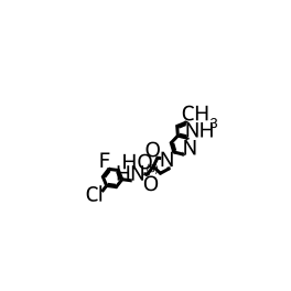 Cc1cc2cc(N3CC[C@](O)(C(=O)NCc4cc(F)cc(Cl)c4)C3=O)cnc2[nH]1